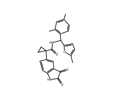 Cc1ccc(C(NC(=O)C2(c3ccc4c(c3)C(=O)C(=O)N4)CC2)c2ccc(C)o2)c(C)c1